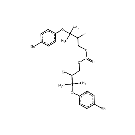 CC(C)(C)c1ccc(OC(C)(C)C(Cl)COS(=O)OCC(Cl)C(C)(C)Oc2ccc(C(C)(C)C)cc2)cc1